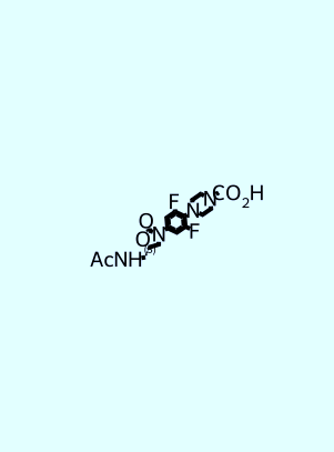 CC(=O)NC[C@H]1CN(c2cc(F)c(N3CCN(C(=O)O)CC3)c(F)c2)C(=O)O1